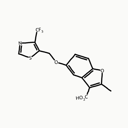 Cc1oc2ccc(OCc3scnc3C(F)(F)F)cc2c1C(=O)O